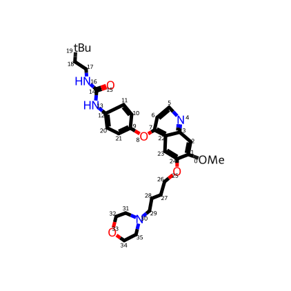 COc1cc2nccc(Oc3ccc(NC(=O)NCCC(C)(C)C)cc3)c2cc1OCCCCN1CCOCC1